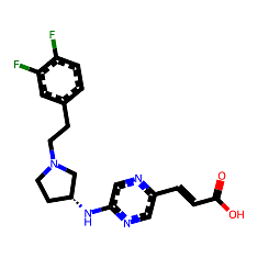 O=C(O)/C=C/c1cnc(N[C@@H]2CCN(CCc3ccc(F)c(F)c3)C2)cn1